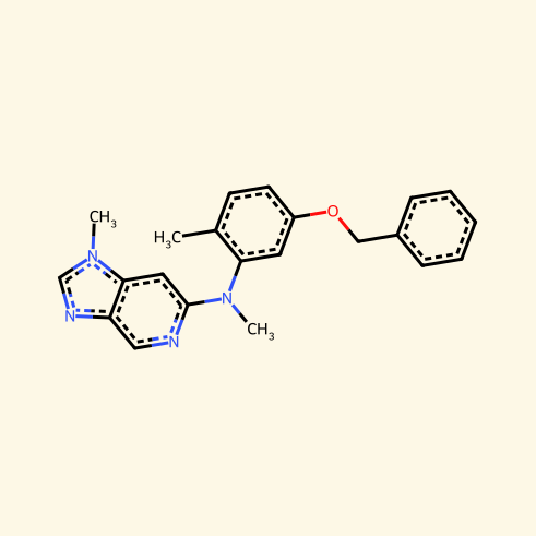 Cc1ccc(OCc2ccccc2)cc1N(C)c1cc2c(cn1)ncn2C